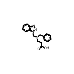 O=C(O)CCN(Cc1ccccc1)Cn1nnc2ccccc21